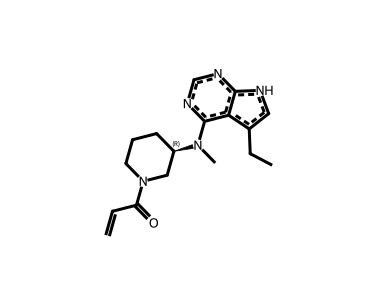 C=CC(=O)N1CCC[C@@H](N(C)c2ncnc3[nH]cc(CC)c23)C1